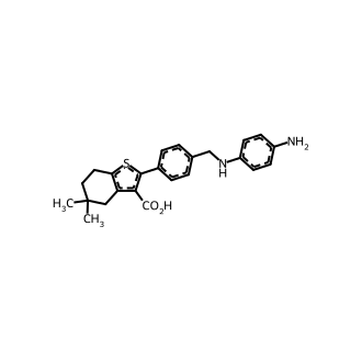 CC1(C)CCc2sc(-c3ccc(CNc4ccc(N)cc4)cc3)c(C(=O)O)c2C1